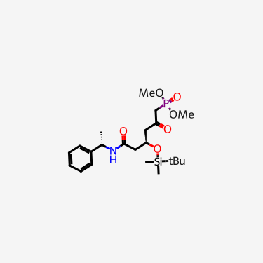 COP(=O)(CC(=O)C[C@H](CC(=O)N[C@@H](C)c1ccccc1)O[Si](C)(C)C(C)(C)C)OC